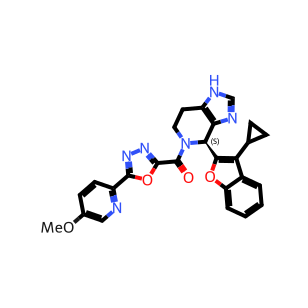 COc1ccc(-c2nnc(C(=O)N3CCc4[nH]cnc4[C@H]3c3oc4ccccc4c3C3CC3)o2)nc1